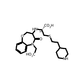 O=C(O)CN1C(=O)C(N[C@@H](CSCCC2CCNCC2)C(=O)O)COc2ccccc21